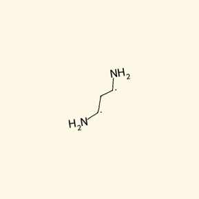 N[CH]C[CH]N